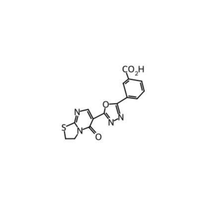 O=C(O)c1cccc(-c2nnc(-c3cnc4n(c3=O)CCS4)o2)c1